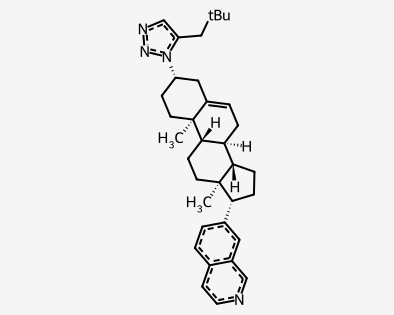 CC(C)(C)Cc1cnnn1[C@H]1CC[C@@]2(C)C(=CC[C@H]3[C@@H]4CC[C@H](c5ccc6ccncc6c5)[C@@]4(C)CC[C@@H]32)C1